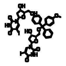 COc1ccc(C(OC[C@H]2O[C@@H](n3cc(I)c(=O)[nH]c3=O)C[C@@H]2O)(c2ccccc2)c2ccccc2)cc1.O=c1[nH]c(=O)n([C@H]2C[C@H](O)[C@@H](CO)O2)cc1I